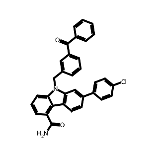 NC(=O)c1cccc2c1c1[c]cc(-c3ccc(Cl)cc3)cc1n2Cc1cccc(C(=O)c2ccccc2)c1